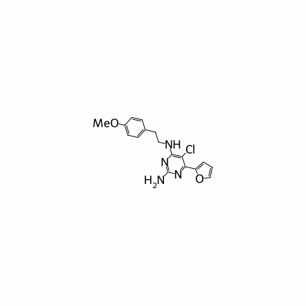 COc1ccc(CCNc2nc(N)nc(-c3ccco3)c2Cl)cc1